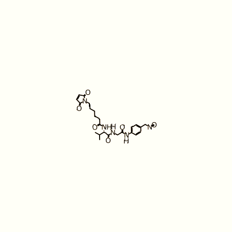 CC(C)[C@H](NC(=O)CCCCCN1C(=O)C=CC1=O)C(=O)NCC(=O)Nc1ccc(CN=O)cc1